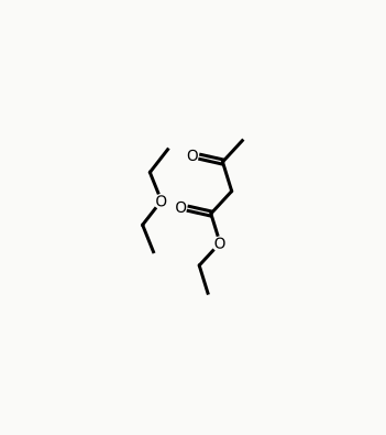 CCOC(=O)CC(C)=O.CCOCC